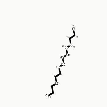 ClCCOCCOOOOOOCCCl